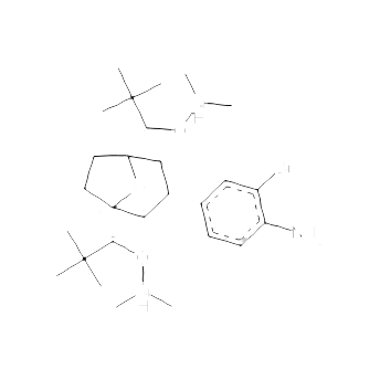 C[SiH](C)OC(C(C)(C)C)[C@@]12CC[C@@](C(O[SiH](C)C)C(C)(C)C)(C[C@H](c3ccc(N)c(Br)c3)C1)O2